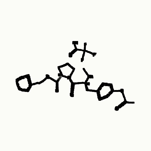 CN[C@@H](Cc1ccc(OC(C)=O)cc1)C(=O)N1CCC[C@H]1C(=O)OCc1ccccc1.O=C(O)C(F)(F)F